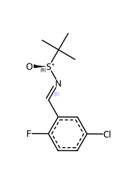 CC(C)(C)[S@+]([O-])/N=C/c1cc(Cl)ccc1F